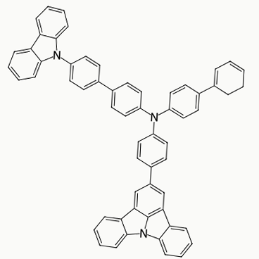 C1=CCCC(c2ccc(N(c3ccc(-c4ccc(-n5c6ccccc6c6ccccc65)cc4)cc3)c3ccc(-c4cc5c6ccccc6n6c7ccccc7c(c4)c56)cc3)cc2)=C1